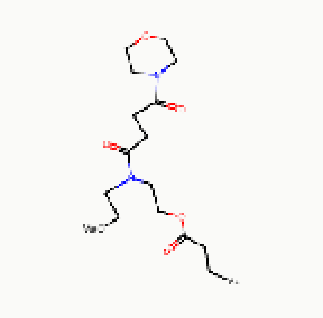 COCCN(CCOC(=O)CCC(C)=O)C(=O)CCC(=O)N1CCOCC1